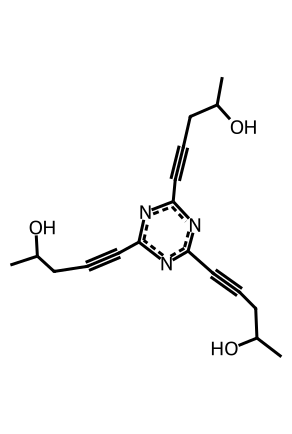 CC(O)CC#Cc1nc(C#CCC(C)O)nc(C#CCC(C)O)n1